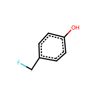 Oc1ccc([CH]F)cc1